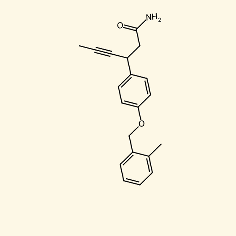 CC#CC(CC(N)=O)c1ccc(OCc2ccccc2C)cc1